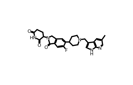 Cc1cnc2[nH]cc(CN3CCC(c4cc5c(cc4F)C(=O)N(C4CCC(=O)NC4=O)C5)CC3)c2c1